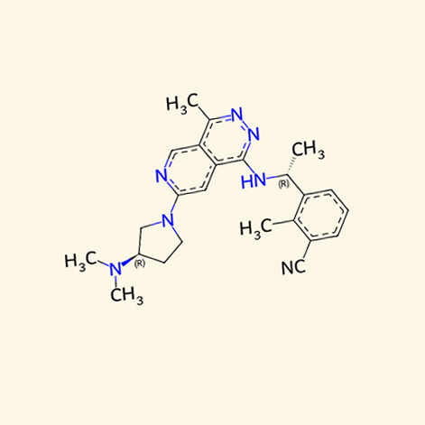 Cc1c(C#N)cccc1[C@@H](C)Nc1nnc(C)c2cnc(N3CC[C@@H](N(C)C)C3)cc12